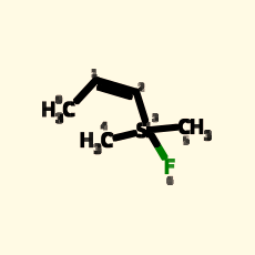 C/C=C\[Si](C)(C)F